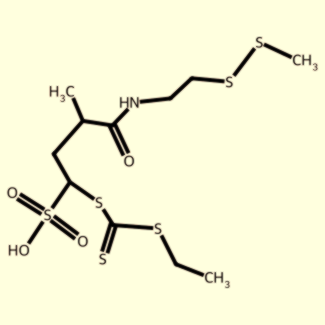 CCSC(=S)SC(CC(C)C(=O)NCCSSC)S(=O)(=O)O